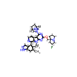 CCn1c2nc(OC[C@@]34CCCN3C[C@H](F)C4)nc(N3C[C@H]4CC[C@@H](C3)N4)c2c2ccnc(-c3c(C(F)(F)F)c(C)cc4[nH]ncc34)c21